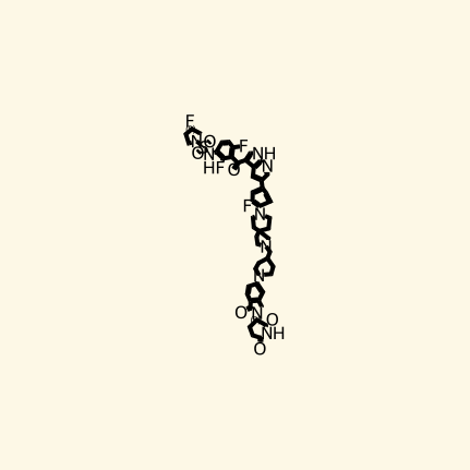 O=C1CC[C@@H](N2Cc3cc(N4CCC(CN5CCC6(CCN(c7ccc(-c8cnc9[nH]cc(C(=O)c%10c(F)ccc(NS(=O)(=O)N%11CC[C@@H](F)C%11)c%10F)c9c8)cc7F)CC6)C5)CC4)ccc3C2=O)C(=O)N1